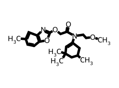 COCCN(C(=O)COc1nc2cc(C)ccc2o1)C1=CC(C)(C)CC(C)C1